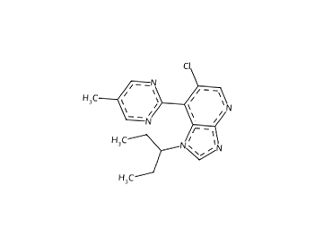 CCC(CC)n1cnc2ncc(Cl)c(-c3ncc(C)cn3)c21